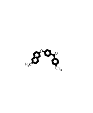 Cc1ccc(C(=O)c2ccc(Oc3ccc4cc(C)ccc4c3)cc2)cc1